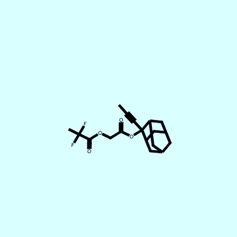 CC#CC1(OC(=O)COC(=O)C(C)(F)F)C2CC3CC(C2)CC1C3